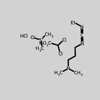 CCN=C=NCCCN(C)C.C[S+](C)[O-].Cl.O=C(O)C(Cl)Cl